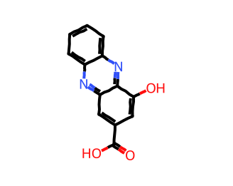 O=C(O)c1cc(O)c2nc3ccccc3nc2c1